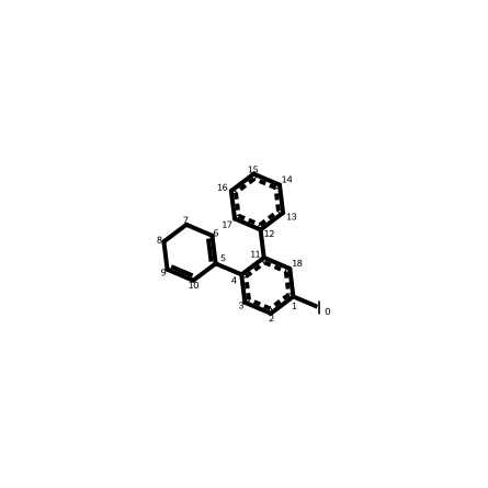 Ic1ccc(C2=CCCC=C2)c(-c2ccccc2)c1